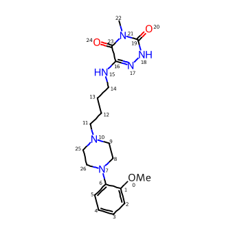 COc1ccccc1N1CCN(CCCCNc2n[nH]c(=O)n(C)c2=O)CC1